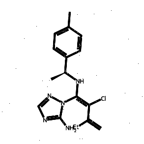 C=C(CC)/C(Cl)=C(/N[C@@H](C)c1ccc(C)cc1)n1ncnc1N